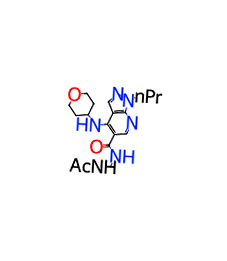 CCCn1ncc2c(NC3CCOCC3)c(C(=O)NNC(C)=O)cnc21